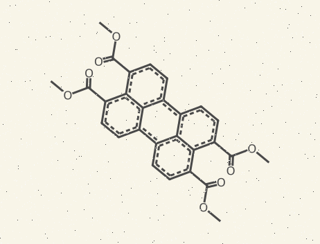 COC(=O)c1ccc2c3ccc(C(=O)OC)c4c(C(=O)OC)ccc(c5ccc(C(=O)OC)c1c25)c43